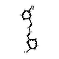 CCc1[c]c(C=NN=Cc2[c]c(CC)ccc2)ccc1